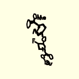 COC(=O)c1ccc(O[C@H]2CN(C(=O)OC(C)(C)C)C[C@H]2F)cn1